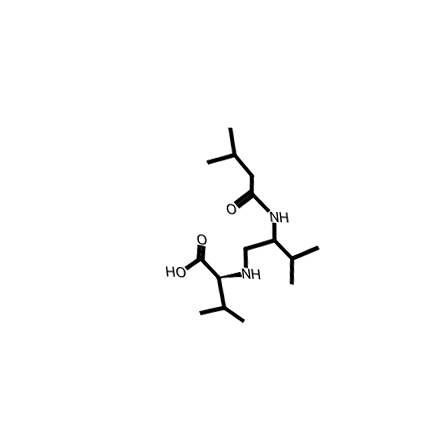 CC(C)CC(=O)NC(CN[C@H](C(=O)O)C(C)C)C(C)C